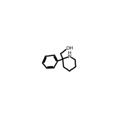 OCC1(c2ccccc2)CCCCN1